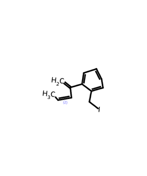 C=C(/C=C\C)c1ccccc1CI